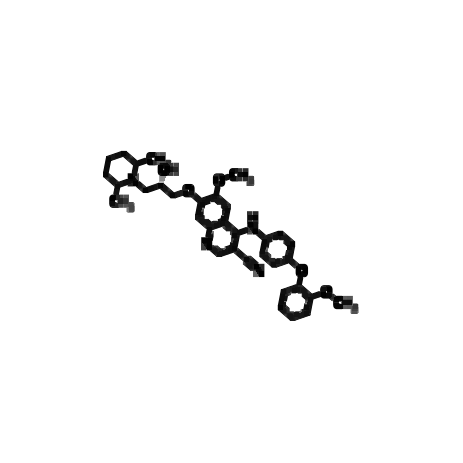 COc1cc2c(Nc3ccc(Oc4ccccc4OC)cc3)c(C#N)cnc2cc1OC[C@@H](O)CN1C(C)CCCC1C